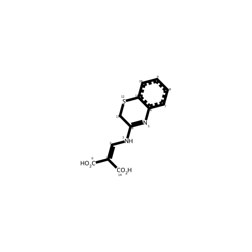 O=C(O)C(=CNC1=Nc2ccccc2SC1)C(=O)O